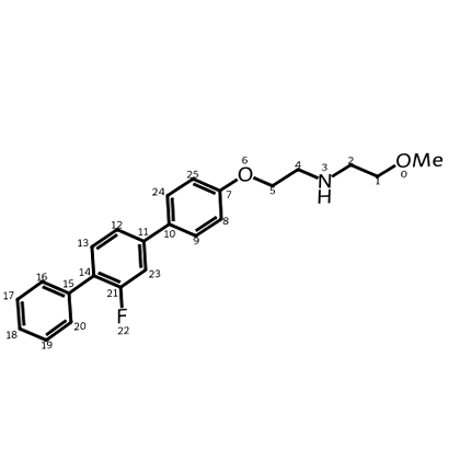 COCCNCCOc1ccc(-c2ccc(-c3ccccc3)c(F)c2)cc1